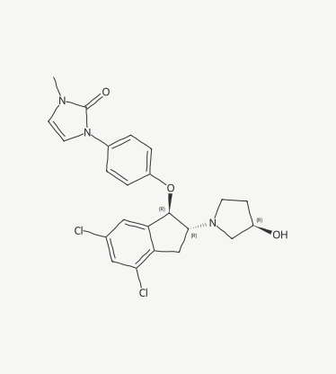 Cn1ccn(-c2ccc(O[C@@H]3c4cc(Cl)cc(Cl)c4C[C@H]3N3CC[C@@H](O)C3)cc2)c1=O